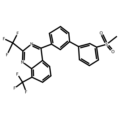 CS(=O)(=O)c1cccc(-c2cccc(-c3nc(C(F)(F)F)nc4c(C(F)(F)F)cccc34)c2)c1